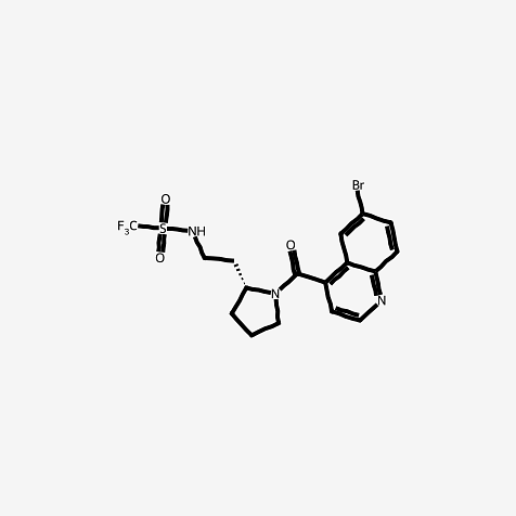 O=C(c1ccnc2ccc(Br)cc12)N1CCC[C@@H]1CCNS(=O)(=O)C(F)(F)F